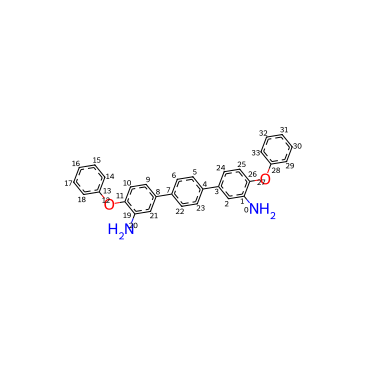 Nc1cc(-c2ccc(-c3ccc(Oc4ccccc4)c(N)c3)cc2)ccc1Oc1ccccc1